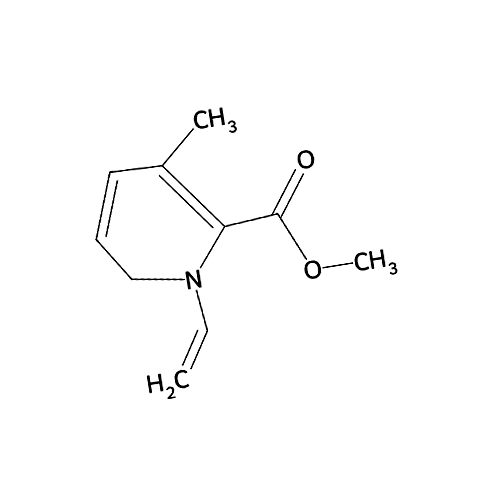 C=CN1CC=CC(C)=C1C(=O)OC